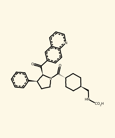 O=C(O)NC[C@H]1CC[C@H](C(=O)N2CC[C@@H](c3ccccc3)[C@H]2C(=O)c2ccc3ncccc3c2)CC1